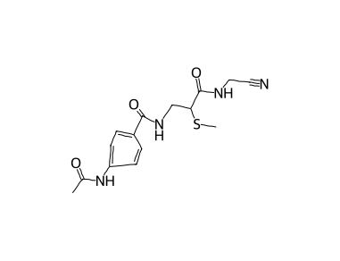 CSC(CNC(=O)c1ccc(NC(C)=O)cc1)C(=O)NCC#N